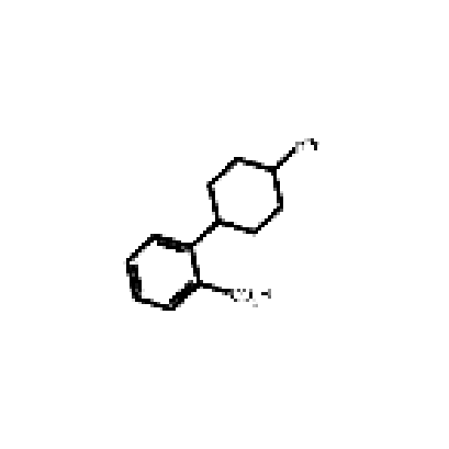 CCCC1CCC(c2ccccc2C(=O)O)CC1